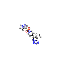 Cc1cc2ncnn2cc1C1CCN(S(=O)(=O)c2cnn3c2CCC3)CC1